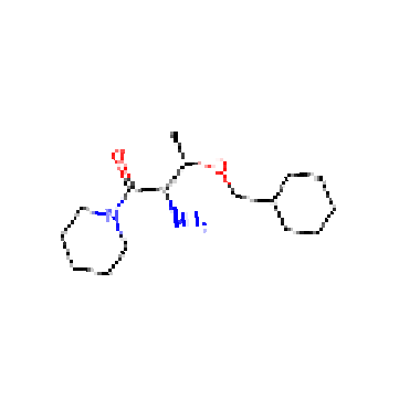 C[C@@H](OCC1CCCCC1)[C@@H](N)C(=O)N1CCCCC1